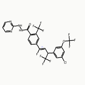 O=C(NNc1ncccn1)c1ccc(/C(F)=C/C(c2cc(Cl)cc(OC(F)(F)F)c2)C(F)(F)F)cc1C(F)(F)F